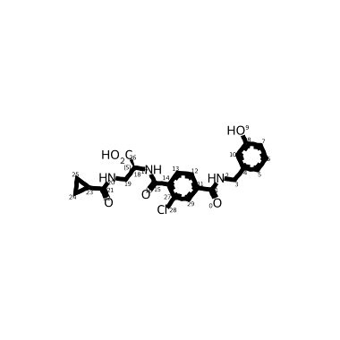 O=C(NCc1cccc(O)c1)c1ccc(C(=O)N[C@@H](CNC(=O)C2CC2)C(=O)O)c(Cl)c1